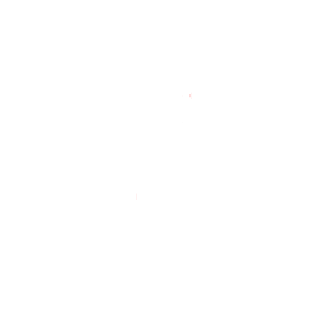 CC(C)c1ccc(O)c2cccc(O)c12